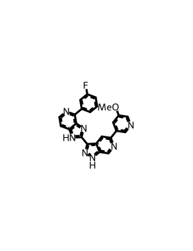 COc1cncc(-c2cc3c(-c4nc5c(-c6cccc(F)c6)nccc5[nH]4)n[nH]c3cn2)c1